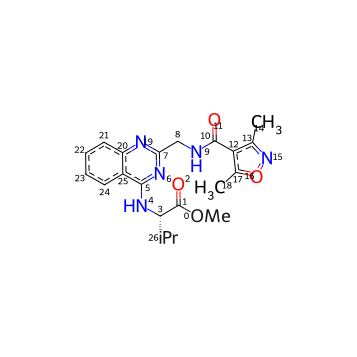 COC(=O)[C@@H](Nc1nc(CNC(=O)c2c(C)noc2C)nc2ccccc12)C(C)C